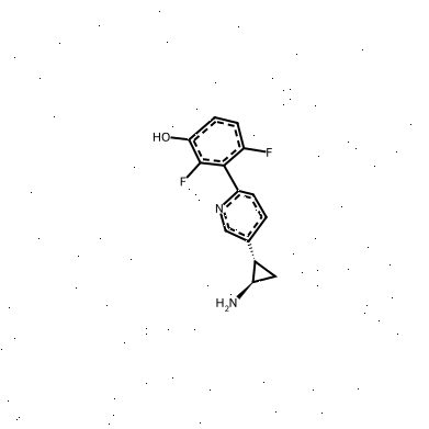 N[C@@H]1C[C@H]1c1ccc(-c2c(F)ccc(O)c2F)nc1